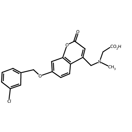 CN(CC(=O)O)Cc1cc(=O)oc2cc(OCc3cccc(Cl)c3)ccc12